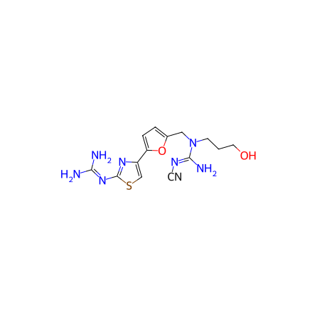 N#CN=C(N)N(CCCO)Cc1ccc(-c2csc(N=C(N)N)n2)o1